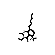 CCCCCCc1ccc([Si](C)(C)C)c(C(=O)N(CC)CC)c1Cl